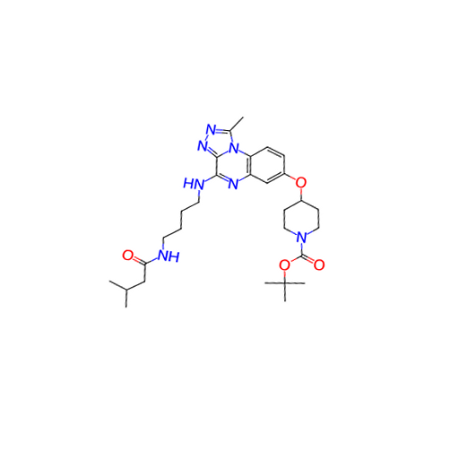 Cc1nnc2c(NCCCCNC(=O)CC(C)C)nc3cc(OC4CCN(C(=O)OC(C)(C)C)CC4)ccc3n12